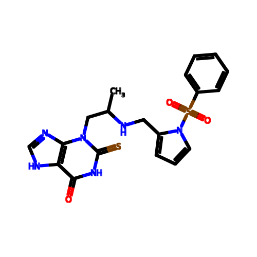 CC(Cn1c(=S)[nH]c(=O)c2[nH]cnc21)NCc1cccn1S(=O)(=O)c1ccccc1